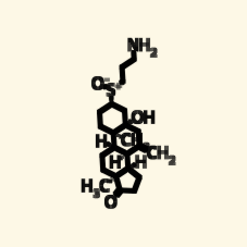 C=C1C[C@@]2(O)C[C@H]([S+]([O-])CCCN)CC[C@]2(C)[C@H]2CC[C@]3(C)C(=O)CC[C@H]3[C@H]12